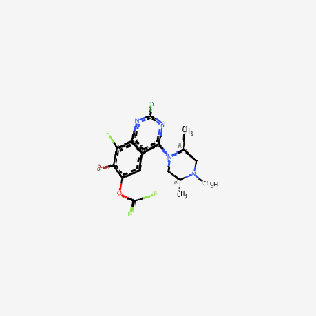 C[C@@H]1CN(c2nc(Cl)nc3c(F)c(Br)c(OC(F)F)cc23)[C@@H](C)CN1C(=O)O